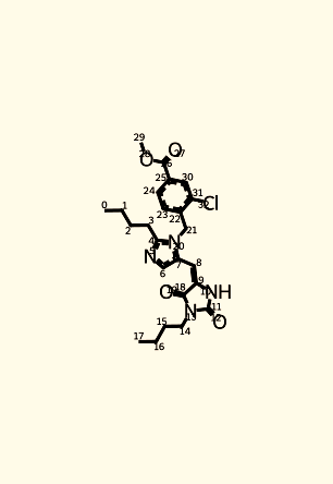 CCCCc1ncc(C=C2NC(=O)N(CCCC)C2=O)n1Cc1ccc(C(=O)OC)cc1Cl